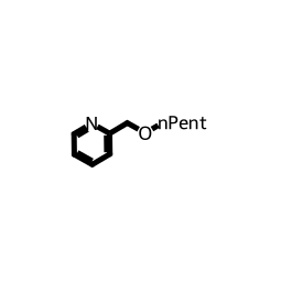 CCCCCOCc1ccccn1